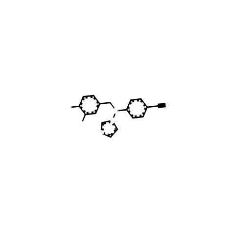 N#Cc1ccc(N(Cc2ccc(O)c(N)c2)n2ccnc2)cc1